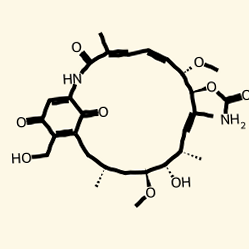 CO[C@H]1/C=C\C=C(/C)C(=O)NC2=CC(=O)C(CO)=C(C[C@@H](C)C[C@H](OC)[C@@H](O)[C@@H](C)/C=C(\C)[C@@H]1OC(N)=O)C2=O